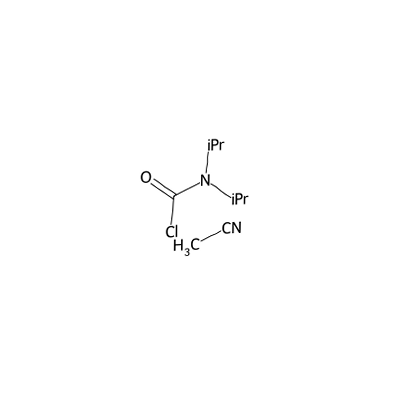 CC#N.CC(C)N(C(=O)Cl)C(C)C